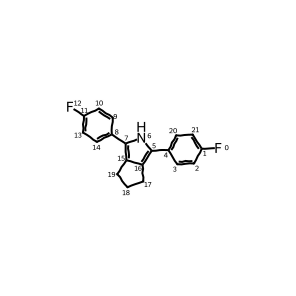 Fc1ccc(-c2[nH]c(-c3ccc(F)cc3)c3c2CCC3)cc1